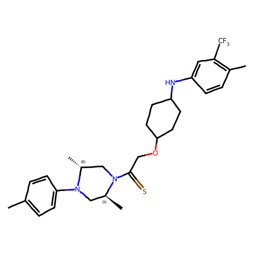 Cc1ccc(N2C[C@H](C)N(C(=S)COC3CCC(Nc4ccc(C)c(C(F)(F)F)c4)CC3)C[C@H]2C)cc1